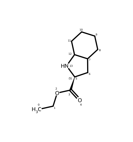 CCOC(=O)[C@@H]1CC2CCCCC2N1